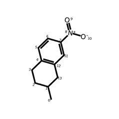 CC1CCc2ccc([N+](=O)[O-])cc2C1